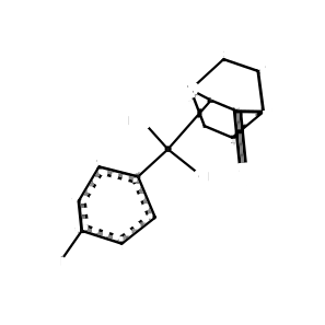 CC(C)(c1ccc(I)cc1)C1C(=O)C2CCN1CC2